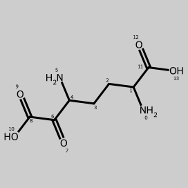 NC(CCC(N)C(=O)C(=O)O)C(=O)O